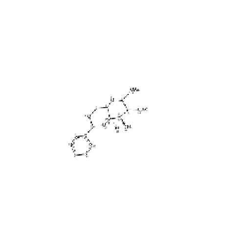 CC(=O)OC1OC2COC(c3ccccc3)O[C@@H]2[C@H](C)C1OC(C)=O